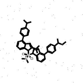 CCC(C)c1ccc(-c2cccc3c2C=C(C)[CH]3[Zr]([Cl])([Cl])([CH]2C(C(C)C)=Cc3c(-c4ccc(C(C)C)cc4)cccc32)[SiH](C)C)cc1